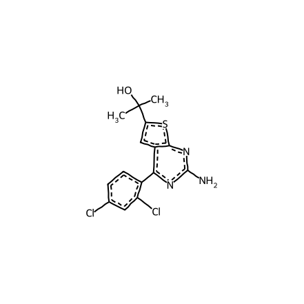 CC(C)(O)c1cc2c(-c3ccc(Cl)cc3Cl)nc(N)nc2s1